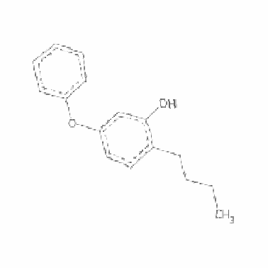 CCCCc1ccc(Oc2ccccc2)cc1O